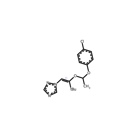 CC(O/C(=C/n1cncn1)C(C)(C)C)Oc1ccc(Cl)cc1